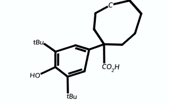 CC(C)(C)c1cc(C2(C(=O)O)CCCCCCC2)cc(C(C)(C)C)c1O